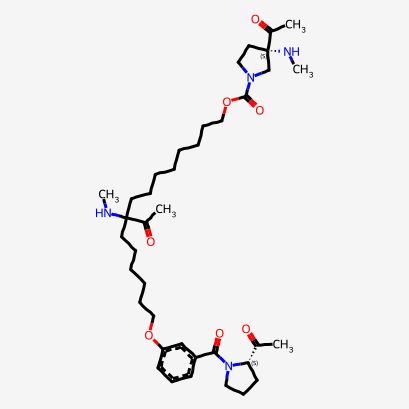 CNC(CCCCCCCCOC(=O)N1CC[C@@](NC)(C(C)=O)C1)(CCCCCCOc1cccc(C(=O)N2CCC[C@H]2C(C)=O)c1)C(C)=O